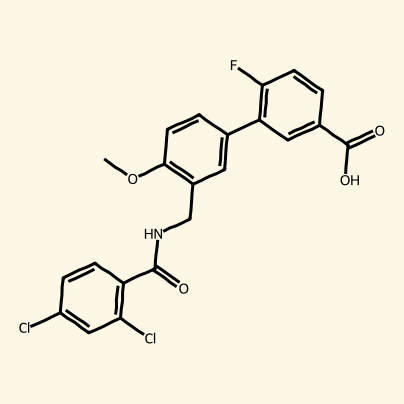 COc1ccc(-c2cc(C(=O)O)ccc2F)cc1CNC(=O)c1ccc(Cl)cc1Cl